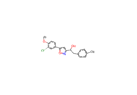 CC(C)Oc1ccc(-c2cc(C(O)Cc3ccc(C#N)cc3)no2)cc1Cl